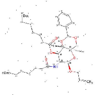 C=CCO[C@@H]1O[C@@H]2COC(c3ccccc3)O[C@H]2[C@H](OC(=O)CCCCCCCCCCCCCCC)[C@H]1NC(=O)CCCCCCCCCCCCCCC